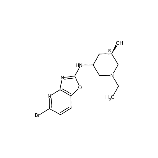 CCN1CC(Nc2nc3nc(Br)ccc3o2)C[C@@H](O)C1